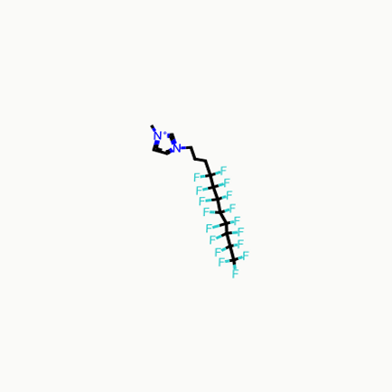 C[n+]1ccn(CCCC(F)(F)C(F)(F)C(F)(F)C(F)(F)C(F)(F)C(F)(F)C(F)(F)C(F)(F)F)c1